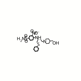 NS(=O)(=O)c1ccc(N[C@H](CCN2CCC(CO)CC2)CSc2ccccc2)c([N+](=O)[O-])c1